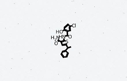 CC(c1ccccc1)c1cc(C(N)=O)c(NC(=O)c2cc(Cl)ccc2O)s1